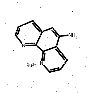 Nc1cc2cccnc2c2ncccc12.[Ru+2]